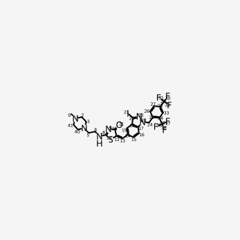 CN1CCN(CCNC2=NC(=O)C(=Cc3ccc4c(c3)c(I)nn4Cc3ccc(C(F)(F)F)cc3C(F)(F)F)S2)CC1